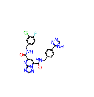 O=C(NCc1ccc(F)c(Cl)c1)c1cc(C(=O)NCc2ccc(-c3nnc[nH]3)cc2)n2ncnc2n1